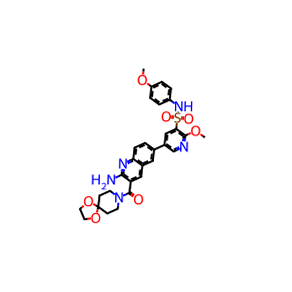 COc1ccc(NS(=O)(=O)c2cc(-c3ccc4nc(N)c(C(=O)N5CCC6(CC5)OCCO6)cc4c3)cnc2OC)cc1